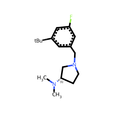 CN(C)[C@H]1CCN(Cc2cc(F)cc(C(C)(C)C)c2)C1